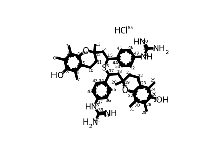 Cc1c(C)c2c(c(C)c1O)CCC(C)(CC(SC(CC1(C)CCc3c(C)c(O)c(C)c(C)c3O1)c1ccc(NC(=N)N)cc1)c1ccc(NC(=N)N)cc1)O2.Cl